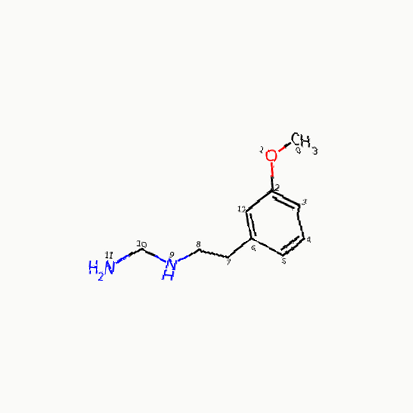 COc1cccc(CCNCN)c1